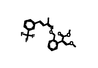 COC=C(C(=O)OC)c1ccccc1CON=C(C)C=Cc1cccc(C(F)(F)F)c1